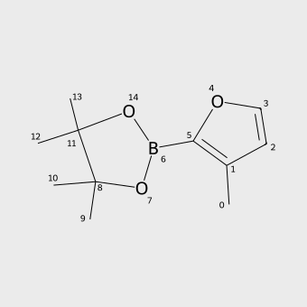 Cc1ccoc1B1OC(C)(C)C(C)(C)O1